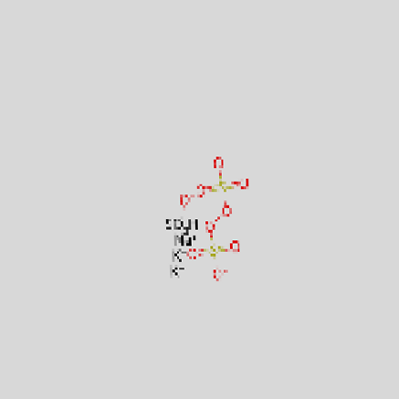 O=S(=O)([O-])O.O=S(=O)([O-])OOS(=O)(=O)[O-].[K+].[K+].[Na+]